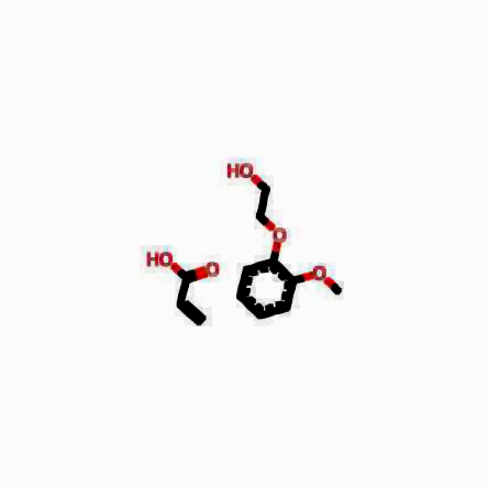 C=CC(=O)O.COc1ccccc1OCCO